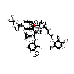 COc1cccc(CN(C(=O)C2=C(c3cnc(CCCOc4c(F)ccc(Cl)c4F)s3)CC3CN(C(=O)OC(C)(C)C)C[C@H]2N3C(=O)O)C2CC2)c1C